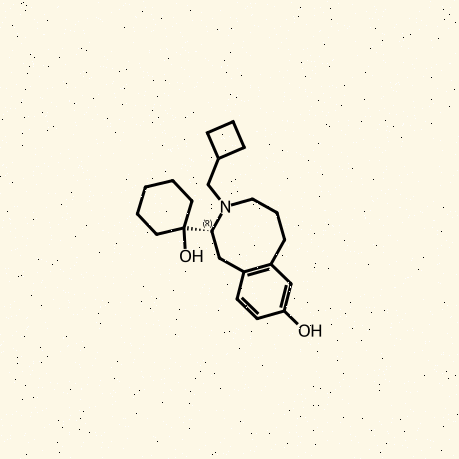 Oc1ccc2c(c1)CCCN(CC1CCC1)[C@@H](C1(O)CCCCC1)C2